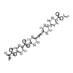 C=COC(=O)C1=CC=C(C2=CC=C(C#CC3=CC=C(OC(=O)c4ccc(OC(=O)C(=C)F)cc4)CC3)CC2)CC1